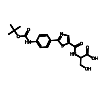 CC(C)(C)OC(=O)Nc1ccc(-c2ncc(C(=O)NC(CO)C(=O)O)s2)cc1